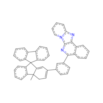 CC12CC=C(c3cccc(-c4nc5c(nc6ccccn65)c5ccccc45)c3)C=C1C1(c3ccccc3-c3ccccc31)c1ccccc12